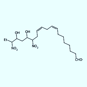 CCC(C(O)CC(O)C(C/C=C\C/C=C\CCCCCC[C]=O)[N+](=O)[O-])[N+](=O)[O-]